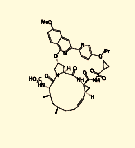 COc1ccc2c(O[C@@H]3C[C@H]4C(=O)N[C@]5(C(=O)NS(=O)(=O)C6CC6)C[C@H]5C=CCC[C@@H](C)C[C@@H](C)[C@H](NC(=O)O)C(=O)N4C3)nc(-c3ccc(OC(C)C)cn3)cc2c1